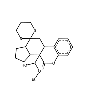 CCOC(O)C12C(=O)Oc3ccccc3C1CC1(SCCCS1)C1CCCC12